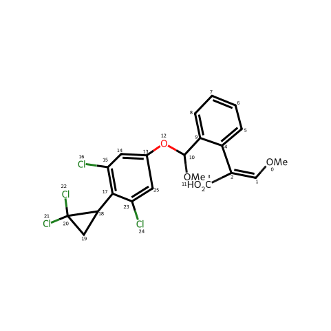 CO/C=C(/C(=O)O)c1ccccc1C(OC)Oc1cc(Cl)c(C2CC2(Cl)Cl)c(Cl)c1